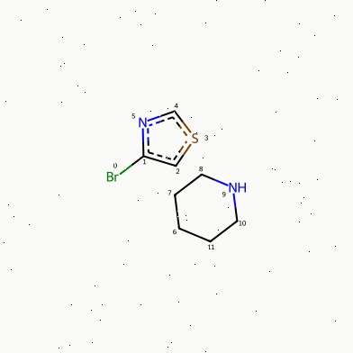 Brc1cscn1.C1CCNCC1